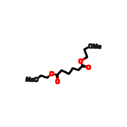 COCCOC(=O)CCCCC(=O)OCCOC